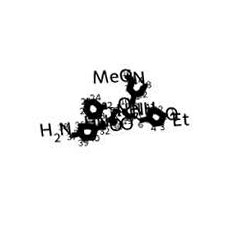 CCOc1ccc(C[C@@H](NC(=O)c2ccnc(OC)c2)C(=O)N[C@@H](Cc2ccccc2)C(=O)NCc2ccc(CN)cc2)cc1